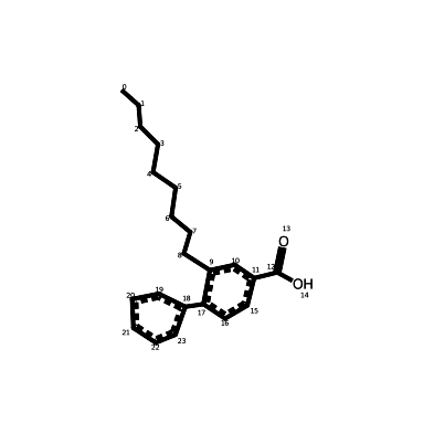 CCCCCCCCCc1cc(C(=O)O)ccc1-c1ccccc1